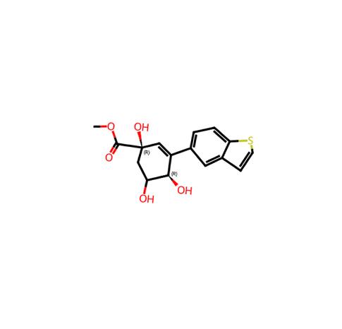 COC(=O)[C@]1(O)C=C(c2ccc3sccc3c2)[C@@H](O)C(O)C1